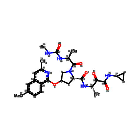 CCC[C@H](NC(=O)[C@@H]1CC(Oc2nc(C)cc3cc(OC)ccc23)CN1C(=O)[C@@H](NC(=O)NC(C)(C)C)C(C)(C)C)C(=O)C(=O)NC1CC1